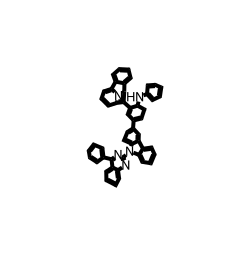 C1=CC2=C(C3=CC(c4ccc5c(c4)c4ccccc4n5-c4nc(-c5ccccc5)c5ccccc5n4)=CCC3Nc3ccccc3)C3c4ccccc4C(=C1)N23